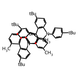 Cc1cc(N(c2ccc(C(C)(C)C)cc2)c2ccc(C(C)(C)C)cc2-c2ccccc2C)c(Br)c(N(c2ccc(C(C)(C)C)cc2)c2ccc(C(C)(C)C)cc2-c2ccccc2C)c1